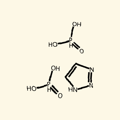 O=[PH](O)O.O=[PH](O)O.c1c[nH]nn1